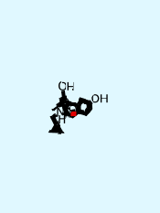 CO[C@@]12[C@@H](C)CC(O)C[C@@]13CCN(CC1CC1)[C@@H]2Cc1ccc(O)cc13